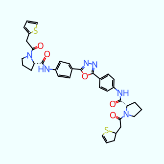 O=C(Nc1ccc(-c2nnc(-c3ccc(NC(=O)[C@@H]4CCCN4C(=O)CC4CC=CS4)cc3)o2)cc1)[C@@H]1CCCN1C(=O)Cc1cccs1